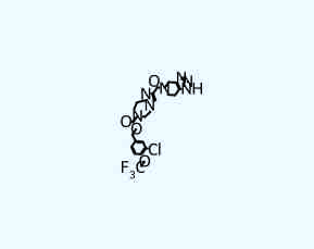 O=C(OCc1ccc(OC(F)(F)F)c(Cl)c1)N1CCc2nc(C(=O)N3CCc4[nH]nnc4C3)cn2CC1